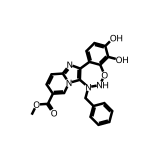 COC(=O)c1ccc2nc3c4ccc(O)c(O)c4o[nH]n(Cc4ccccc4)c3n2c1